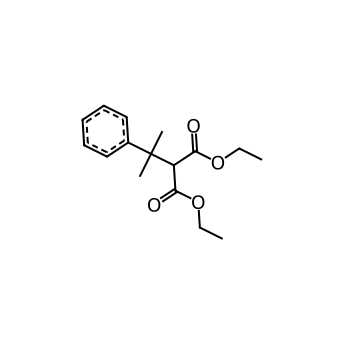 CCOC(=O)C(C(=O)OCC)C(C)(C)c1ccccc1